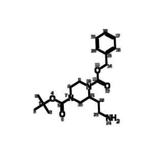 CC(C)(C)OC(=O)N1CCN(C(=O)OCc2ccccc2)C(CCN)C1